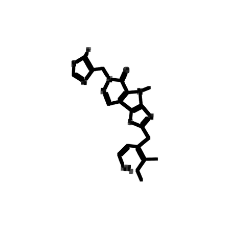 CC/C(C)=C(\C=C/N)Cc1nc2c(s1)c1cnn(Cc3ncsc3F)c(=O)c1n2C